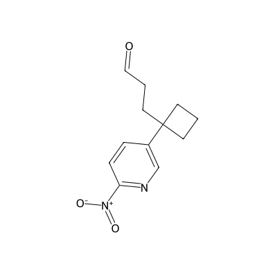 O=CCCC1(c2ccc([N+](=O)[O-])nc2)CCC1